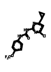 O=C(Nc1ccc(OC(F)(F)F)cc1)Nc1nc(Cl)cc(C2CC2)n1